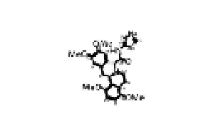 COc1ccc(CC2c3c(OC)ccc(OC)c3CCN2CC(=O)Nc2nncs2)cc1OC